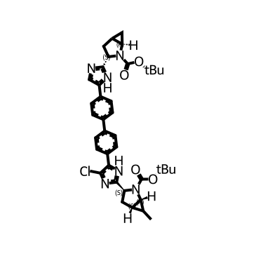 CC1[C@@H]2[C@H]1C[C@@H](c1nc(Cl)c(-c3ccc(-c4ccc(-c5cnc([C@@H]6CC7C[C@H]7N6C(=O)OC(C)(C)C)[nH]5)cc4)cc3)[nH]1)N2C(=O)OC(C)(C)C